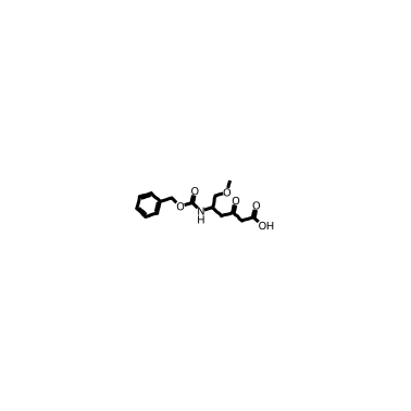 COCC(CC(=O)CC(=O)O)NC(=O)OCc1ccccc1